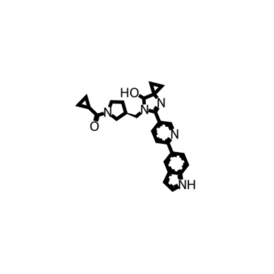 O=C(C1CC1)N1CC[C@@H](CN2C(c3ccc(-c4ccc5[nH]ccc5c4)nc3)=NC3(CC3)C2O)C1